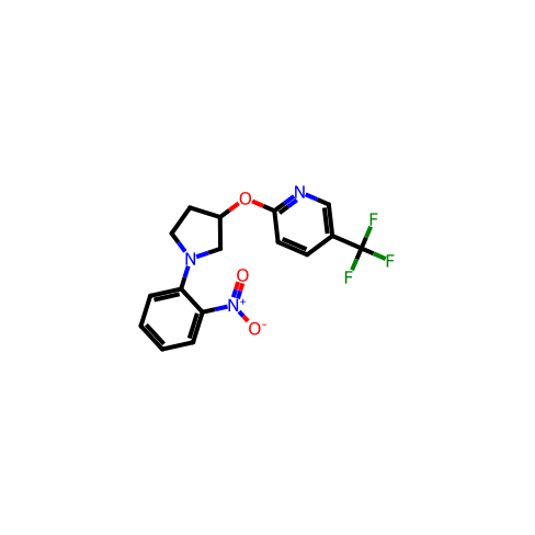 O=[N+]([O-])c1ccccc1N1CCC(Oc2ccc(C(F)(F)F)cn2)C1